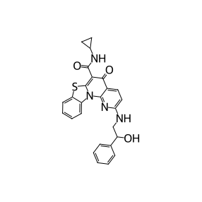 O=C(NC1CC1)c1c(=O)c2ccc(NCC(O)c3ccccc3)nc2n2c1sc1ccccc12